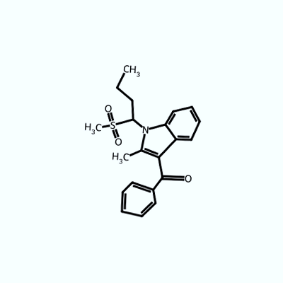 CCCC(n1c(C)c(C(=O)c2ccccc2)c2ccccc21)S(C)(=O)=O